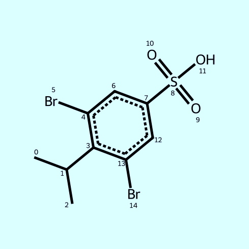 CC(C)c1c(Br)cc(S(=O)(=O)O)cc1Br